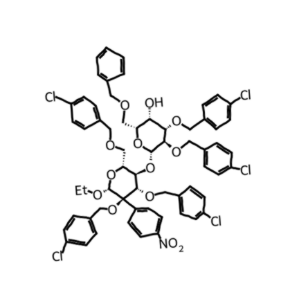 CCO[C@@H]1O[C@H](COCc2ccc(Cl)cc2)[C@@H](O[C@@H]2O[C@H](COCc3ccccc3)[C@H](O)[C@H](OCc3ccc(Cl)cc3)[C@H]2OCc2ccc(Cl)cc2)[C@H](OCc2ccc(Cl)cc2)[C@]1(OCc1ccc(Cl)cc1)c1ccc([N+](=O)[O-])cc1